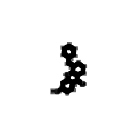 O=c1c2c(oc3cc(O)ccc13)C(=Cc1ccccc1)CCC2